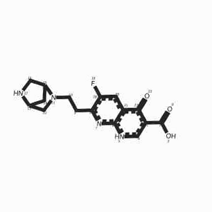 O=C(O)c1c[nH]c2nc(CCN3CC4CC3CN4)c(F)cc2c1=O